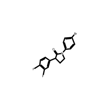 O=C1C(c2ccc(F)c(F)c2)CCN1c1ccc(Br)cc1